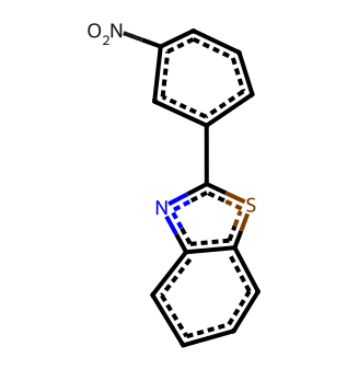 O=[N+]([O-])c1cccc(-c2nc3ccccc3s2)c1